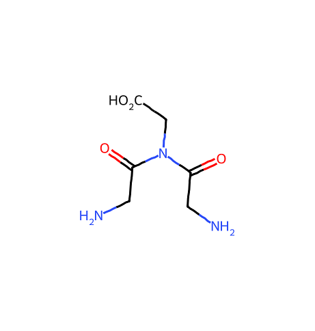 NCC(=O)N(CC(=O)O)C(=O)CN